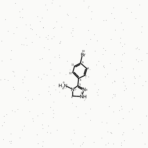 NN1CNN=C1c1ccc(Br)cc1